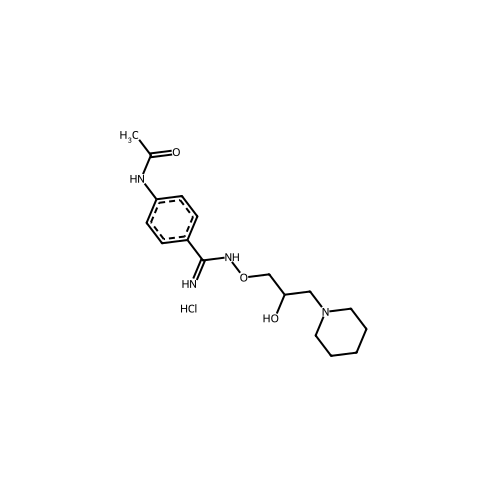 CC(=O)Nc1ccc(C(=N)NOCC(O)CN2CCCCC2)cc1.Cl